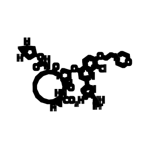 CC(C)Nc1nc(-c2cc(O[C@@H]3C[C@H]4C(=O)N[C@]5(C(=O)O)C[C@H]5CCCCCCC[C@H](NC(=O)O[C@@H]5C[C@@H]6C[C@@H]6C5)C(=O)N4C3)c3ccc(OCCN4CCOCC4)c(Cl)c3n2)cs1